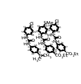 CCOC(=O)c1ccc(NC(=O)Nc2ccc(Cl)cc2)cc1.CCOC(=O)c1ccc(NC(=O)Nc2ccc(SC)cc2)cc1.CN(C)c1ccc(NC(=O)Nc2ccc(Cl)cc2)cc1